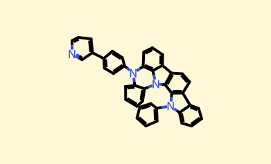 c1ccc(-n2c3ccccc3c3ccc4c5cccc6c5n(c4c32)-c2ccccc2N6c2ccc(-c3cccnc3)cc2)cc1